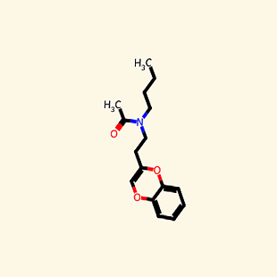 CCCCN(CCC1=COc2ccccc2O1)C(C)=O